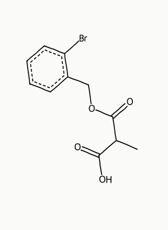 CC(C(=O)O)C(=O)OCc1ccccc1Br